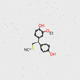 CCOc1cc([C@H](CSC#N)c2ccc(O)cc2)ccc1O